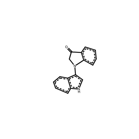 O=C1CN(c2c[nH]c3ccccc23)c2ccccc21